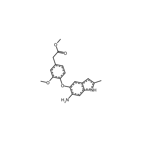 COC(=O)Cc1ccc(Oc2cc3cc(C)[nH]c3cc2N)c(OC)c1